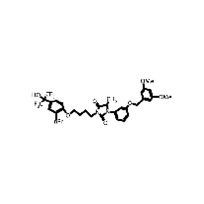 CCCc1cc(C(O)(C(F)(F)F)C(F)(F)F)ccc1OCCCCN1C(=O)C(C)N(c2cccc(OCc3cc(OC)cc(OC)c3)c2)C1=O